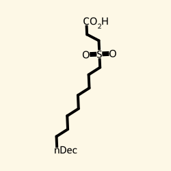 CCCCCCCCCCCCCCCCCCS(=O)(=O)CCC(=O)O